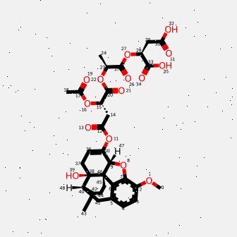 COc1ccc2c3c1O[C@H]1C(OC(=O)C[C@H](OC(C)=O)C(=O)O[C@@H](C)C(=O)O[C@@H](CC(=O)O)C(=O)O)=CC[C@@]4(O)[C@@H](C2)C(C)CC[C@]314